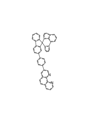 c1ccc2c(c1)-c1ccc(-c3ccc(-c4cnc5c(ccc6cccnc65)c4)cc3)cc1C21c2ccccc2-c2cccc3cccc1c23